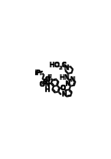 Cc1ccc2c(NS(=O)(=O)CCC(C)C)c(F)ccc2c1Oc1ncccc1-c1ccnc(NC2CCCN(C(=O)O)C2)n1